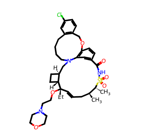 CC[C@]1(OCCN2CCOCC2)/C=C/C[C@H](C)[C@@H](C)S(=O)(=O)NC(=O)c2ccc3c(c2)N(CCCCc2cc(Cl)ccc2CO3)C[C@@H]2CC[C@H]21